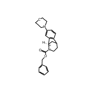 O=C(OCc1ccccc1)N1CCC2C[C@@H]1c1cc(N3CCCCC3)ccc12